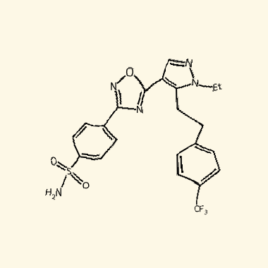 CCn1ncc(-c2nc(-c3ccc(S(N)(=O)=O)cc3)no2)c1CCc1ccc(C(F)(F)F)cc1